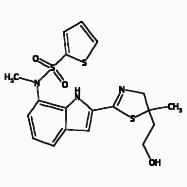 CN(c1cccc2cc(C3=NCC(C)(CCO)S3)[nH]c12)S(=O)(=O)c1cccs1